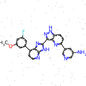 COc1cc(F)cc(-c2ccnc3[nH]c(-c4n[nH]c5ccc(-c6cncc(N)c6)nc45)nc23)c1